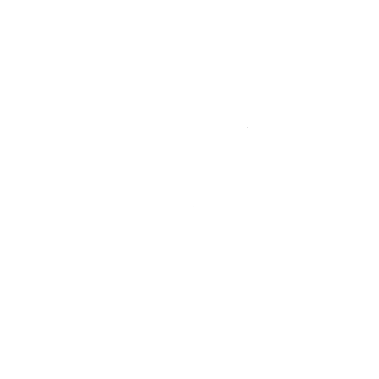 CCc1ccc(C)cc1-c1ccc2c(c1)C(=O)CCO2